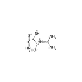 N=C(N)N.N=C=S.OCCS